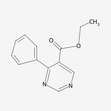 CCOC(=O)c1cncnc1-c1ccccc1